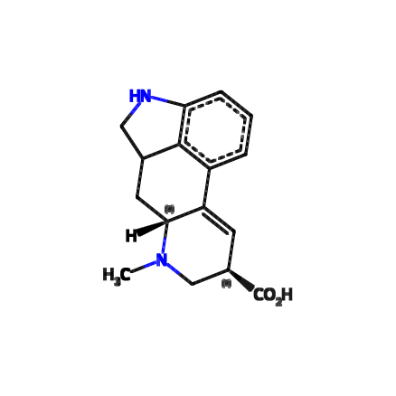 CN1C[C@H](C(=O)O)C=C2c3cccc4c3C(CN4)C[C@H]21